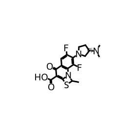 CC1Sc2c(C(=O)O)c(=O)c3cc(F)c(N4CC[C@@H](N(C)C)C4)c(F)c3n21